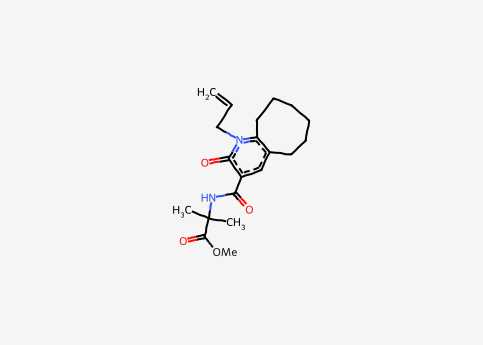 C=CCn1c2c(cc(C(=O)NC(C)(C)C(=O)OC)c1=O)CCCCCC2